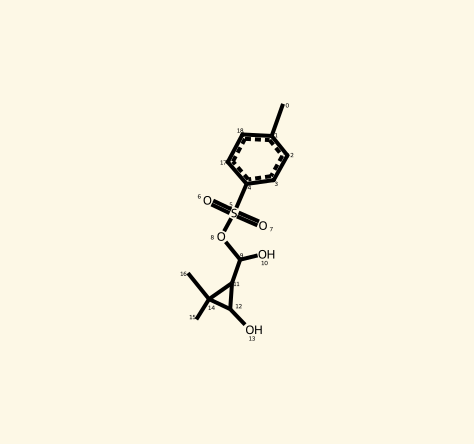 Cc1ccc(S(=O)(=O)OC(O)C2C(O)C2(C)C)cc1